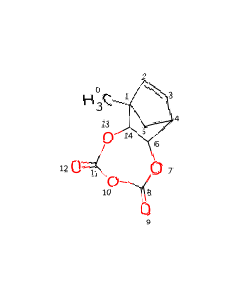 CC12C=CC(C1)C1OC(=O)OC(=O)OC12